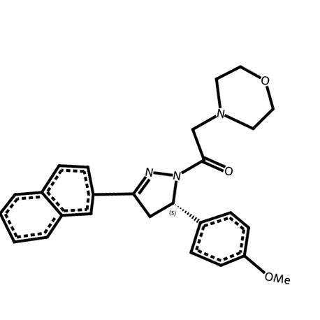 COc1ccc([C@@H]2CC(c3ccc4ccccc4c3)=NN2C(=O)CN2CCOCC2)cc1